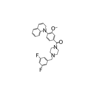 COc1cc(C(=O)N2CCN(Cc3cc(F)cc(F)c3)CC2)ccc1N1CC=Cc2ccccc21